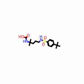 CC(C)(CCCNS(=O)(=O)c1ccc(C(C)(C)C)cc1)NC(=O)O